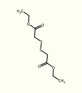 CCOC(=O)CSSCC(=O)OCC